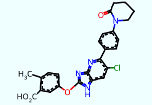 Cc1ccc(Oc2nc3nc(-c4ccc(N5CCCCC5=O)cc4)c(Cl)cc3[nH]2)cc1C(=O)O